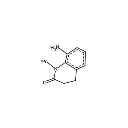 CC(C)N1C(=O)CCc2cccc(N)c21